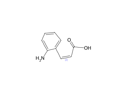 Nc1ccccc1/C=C\C(=O)O